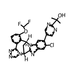 CC(C)(O)c1ncc(-c2cc3c(cc2Cl)nc2n3[C@@H]3C[C@H]2n2cnnc2-c2cccc(OC(F)F)c23)cn1